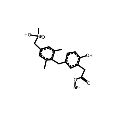 CCCOC(=O)Cc1cc(Cc2c(C)cc(CP(C)(=O)O)cc2C)ccc1O